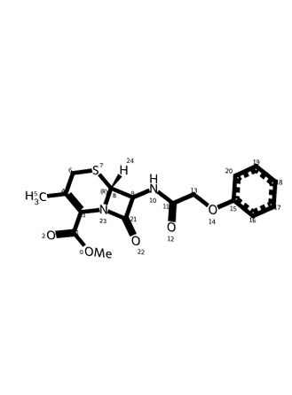 COC(=O)C1=C(C)CS[C@@H]2C(NC(=O)COc3ccccc3)C(=O)N12